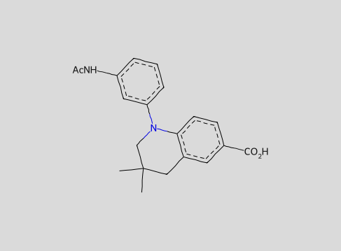 CC(=O)Nc1cccc(N2CC(C)(C)Cc3cc(C(=O)O)ccc32)c1